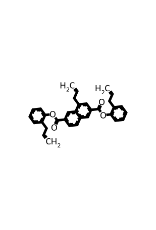 C=CCc1ccccc1OC(=O)c1cc(CC=C)c2cc(C(=O)Oc3ccccc3CC=C)ccc2c1